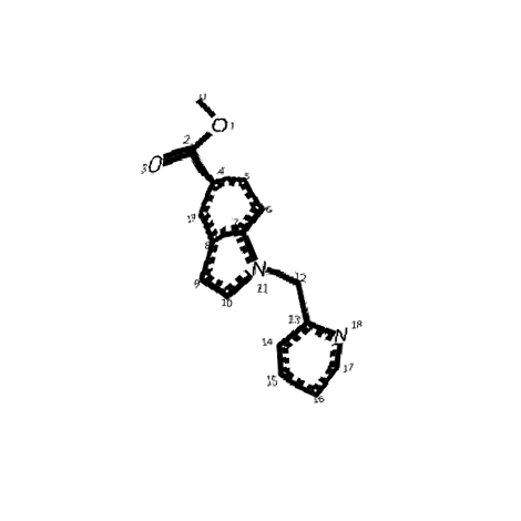 COC(=O)c1ccc2c(ccn2Cc2ccccn2)c1